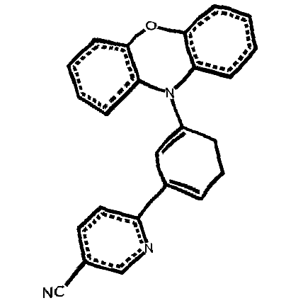 N#Cc1ccc(C2=CCCC(N3c4ccccc4Oc4ccccc43)=C2)nc1